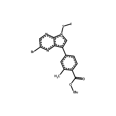 Cc1cc(-c2cn(SI)c3ncc(Br)nc23)ccc1C(=O)OC(C)(C)C